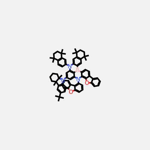 CC(C)(C)c1ccc2c(c1)C1(C)CCCCC1(C)N2c1cc2c3c(c1)N(c1cccc4oc5ccccc5c14)c1c(ccc4c1oc1ccccc14)B3c1cc3c(cc1N2c1ccc2c(c1)C(C)(C)CCC2(C)C)C(C)(C)CCC3(C)C